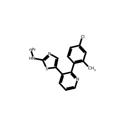 CCCNc1ncc(-c2cccnc2-c2ccc(Cl)cc2C)s1